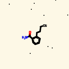 N#C[CH]CCc1ccccc1C(N)=O